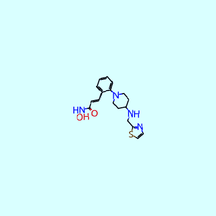 O=C(/C=C/c1ccccc1N1CCC(NCc2nccs2)CC1)NO